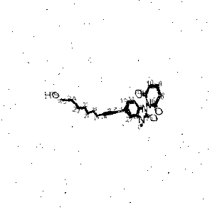 Cn1c(=O)n(N2C(=O)CCCC2=O)c2ccc(C#CCCCCCCCO)cc21